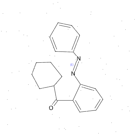 O=C(c1ccccc1/N=N/c1ccccc1)C1CCCCC1